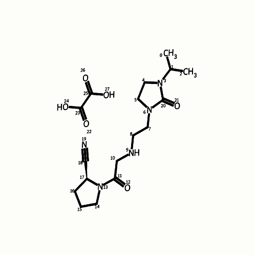 CC(C)N1CCN(CCNCC(=O)N2CCC[C@H]2C#N)C1=O.O=C(O)C(=O)O